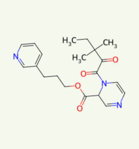 CCC(C)(C)C(=O)C(=O)N1C=CN=CC1C(=O)OCCCc1cccnc1